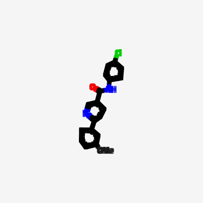 COc1cccc(-c2ccc(C(=O)Nc3ccc(Cl)cc3)cn2)c1